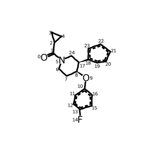 O=C(C1CC1)N1CC[C@H](Oc2ccc(F)cc2)[C@H](c2ccccc2)C1